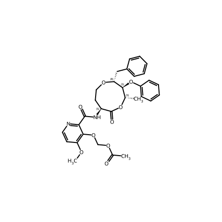 COc1ccnc(C(=O)N[C@H]2CCO[C@H](Cc3ccccc3)[C@@H](Oc3ccccc3)[C@H](C)OC2=O)c1OCOC(C)=O